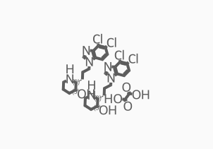 O=C(O)C(=O)O.O[C@H]1CCCN[C@@H]1CCCn1cnc2c(Cl)c(Cl)ccc21.O[C@H]1CCCN[C@@H]1CCCn1cnc2c(Cl)c(Cl)ccc21